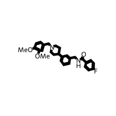 COc1ccc(CN2CCC(c3cccc(CNC(=O)c4ccc(F)cc4)c3)CC2)cc1OC